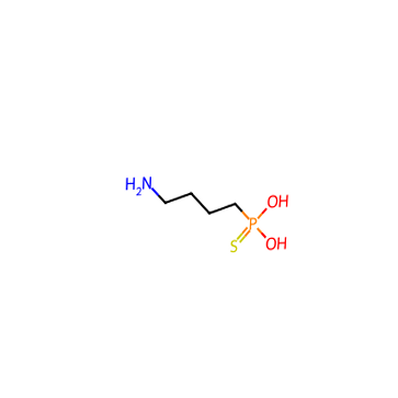 NCCCCP(O)(O)=S